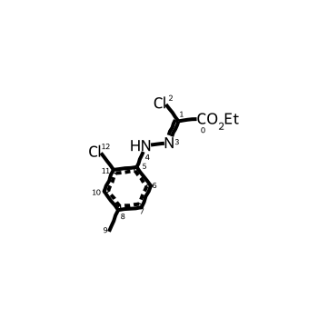 CCOC(=O)/C(Cl)=N/Nc1ccc(C)cc1Cl